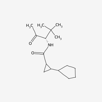 CC(=O)[C@@H](NC(=O)C1CC1C1CCCC1)C(C)(C)C